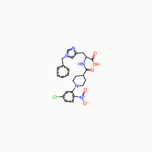 O=C(NC(Cc1cn(Cc2ccccc2)cn1)C(=O)O)C1CCN(c2cc(Cl)ccc2[N+](=O)[O-])CC1